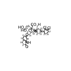 O=C(O)CC(O)(CC(=O)O)C(=O)O.O=C1CCc2ccc(OCCCCN3CCN(c4cccc(Cl)c4Cl)CC3)cc2N1